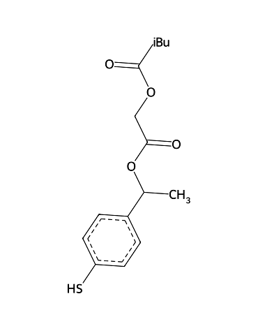 CCC(C)C(=O)OCC(=O)OC(C)c1ccc(S)cc1